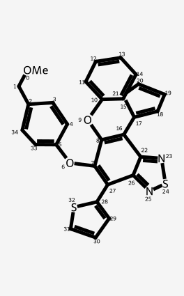 COCc1ccc(Oc2c(Oc3ccccc3)c(-c3cccs3)c3nsnc3c2-c2cccs2)cc1